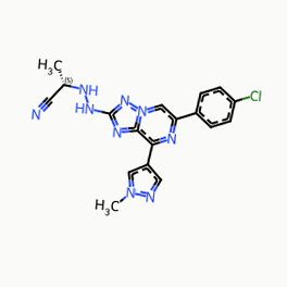 C[C@@H](C#N)NNc1nc2c(-c3cnn(C)c3)nc(-c3ccc(Cl)cc3)cn2n1